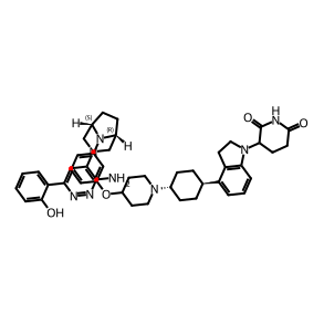 Nc1nnc(-c2ccccc2O)cc1N1C[C@H]2CC[C@@H](C1)N2c1cccc(OC2CCN([C@H]3CC[C@H](c4cccc5c4CCN5C4CCC(=O)NC4=O)CC3)CC2)c1